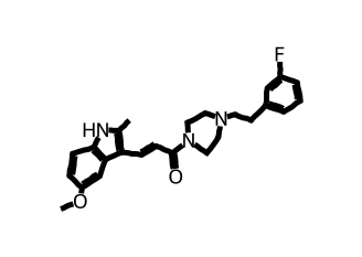 COc1ccc2[nH]c(C)c(C=CC(=O)N3CCN(CCc4cccc(F)c4)CC3)c2c1